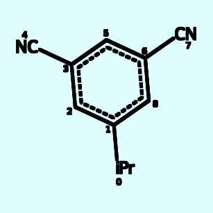 CC(C)c1cc(C#N)cc(C#N)c1